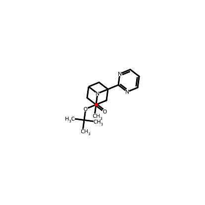 CC1CC2CC(c3ncccn3)(C1)N2C(=O)OC(C)(C)C